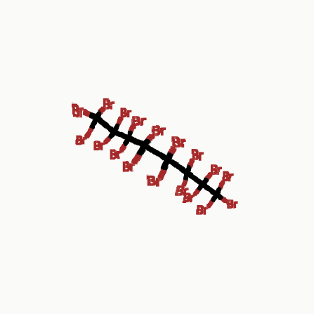 BrC(Br)(Br)C(Br)(Br)C(Br)(Br)C(Br)(Br)C(Br)(Br)C(Br)(Br)C(Br)(Br)C(Br)(Br)Br